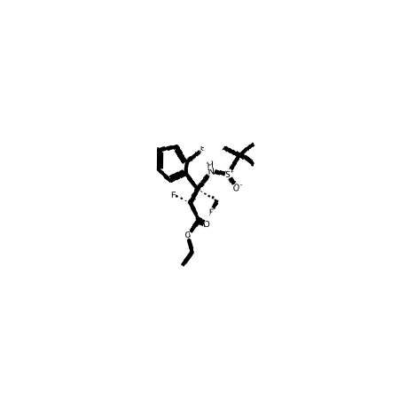 CCOC(=O)[C@H](F)[C@](CF)(N[S+]([O-])C(C)(C)C)c1ccccc1F